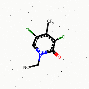 N#CCn1cc(Cl)c(C(F)(F)F)c(Cl)c1=O